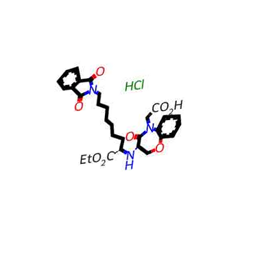 CCOC(=O)[C@H](CCCCCCCN1C(=O)c2ccccc2C1=O)N[C@H]1COc2ccccc2N(CC(=O)O)C1=O.Cl